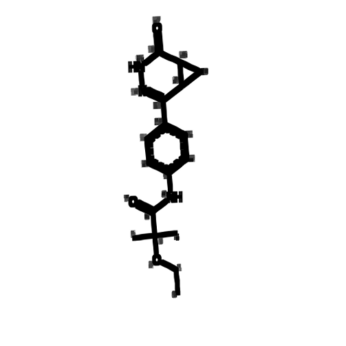 CCOC(C)(C)C(=O)Nc1ccc(C2=NNC(=O)C3CC23)cc1